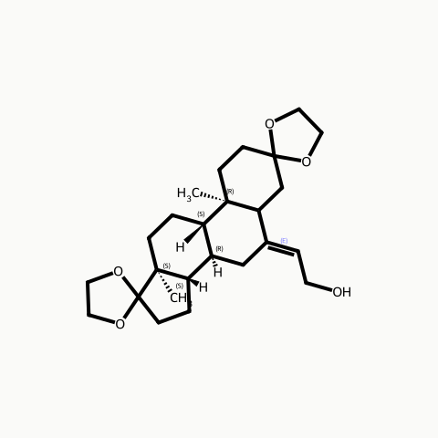 C[C@]12CCC3(CC1/C(=C/CO)C[C@@H]1[C@@H]2CC[C@@]2(C)[C@H]1CCC21OCCO1)OCCO3